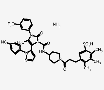 Cc1c(CCC(=O)N2CCC(NC(=O)n3c(-c4ccnn4-c4ccc(C#N)cc4)c(C)n(-c4cccc(C(F)(F)F)c4)c3=O)CC2)cc(S(=O)(=O)O)c(C)c1C.N